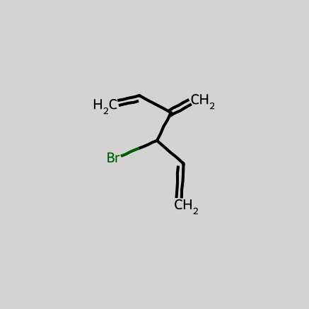 C=CC(=C)C(Br)C=C